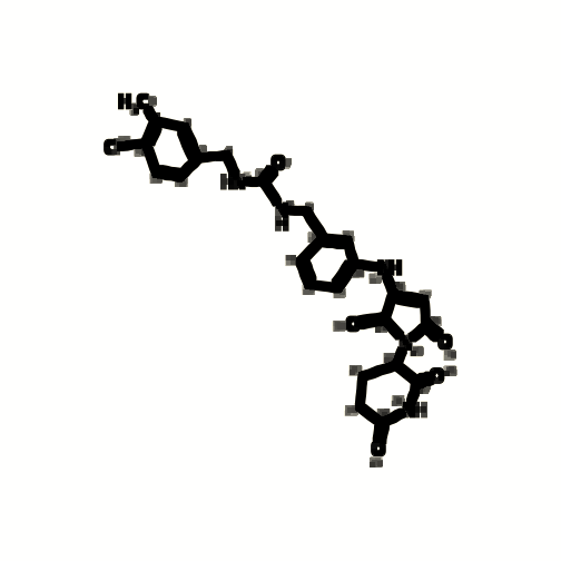 Cc1cc(CNC(=O)NCc2cccc(NC3=CC(=O)N(C4CCC(=O)NC4=O)C3=O)c2)ccc1Cl